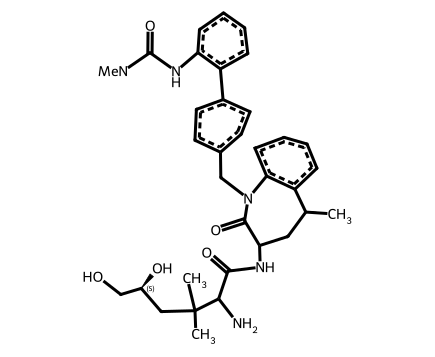 CNC(=O)Nc1ccccc1-c1ccc(CN2C(=O)C(NC(=O)C(N)C(C)(C)C[C@H](O)CO)CC(C)c3ccccc32)cc1